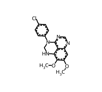 COc1cc2ncnc3c2c(c1OC)NCN3c1ccc(Cl)cc1